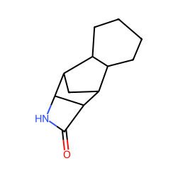 O=C1NC2C3CC(C4CCCCC43)C12